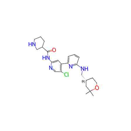 CC1(C)C[C@H](CNc2cccc(-c3cc(NC(=O)C4CCCNC4)ncc3Cl)n2)CCO1